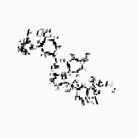 CC(C)(c1ccc(Cl)c(S(N)(=O)=O)c1)c1cnc(SCc2ccc(Cl)c(-c3nnn[nH]3)c2)n1-c1ccc(F)cc1